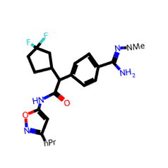 CCCc1cc(NC(=O)C(c2ccc(/C(N)=N/NC)cc2)C2CCC(F)(F)C2)on1